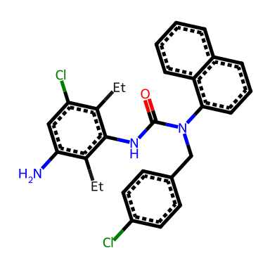 CCc1c(N)cc(Cl)c(CC)c1NC(=O)N(Cc1ccc(Cl)cc1)c1cccc2ccccc12